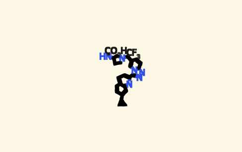 O=C(O)NC1CCN(C(c2ccc3nnc(-c4ccc5ccc(C6CC6)cc5n4)n3c2)C(F)(F)F)C1